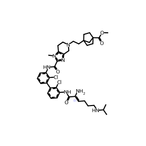 COC(=O)C12CCC(CCN3CCc4c(nc(C(=O)Nc5cccc(-c6cccc(NC(=O)/C(N)=C/CCCNC(C)C)c6Cl)c5Cl)n4C)C3)(CC1)C2